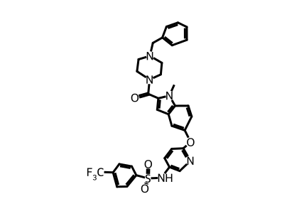 Cn1c(C(=O)N2CCN(Cc3ccccc3)CC2)cc2cc(Oc3ccc(NS(=O)(=O)c4ccc(C(F)(F)F)cc4)cn3)ccc21